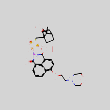 CC1(C)C2CCC1(CS(=O)(=O)ON1C(=O)c3cccc4c(OCCN5CCOCC5)ccc(c34)C1O)C(=O)C2